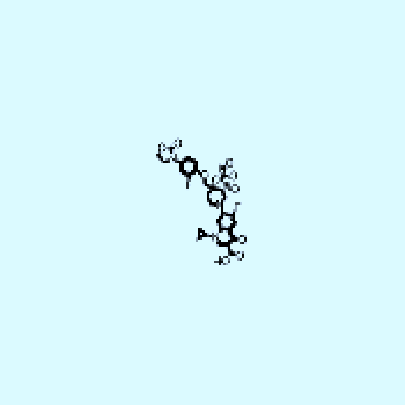 O=NP(=O)(N=O)OC1(COc2ccc(N3CCOC3=O)cc2F)CCN(c2cc3c(cc2F)c(=O)c(C(=O)O)cn3C2CC2)CC1